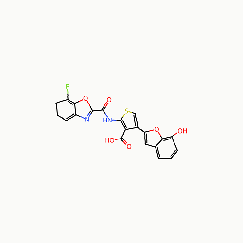 O=C(Nc1scc(-c2cc3cccc(O)c3o2)c1C(=O)O)c1nc2c(o1)=C(F)CCC=2